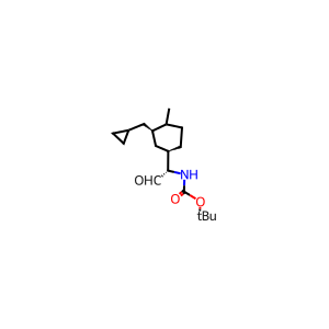 CC1CC[C@@H]([C@@H](C=O)NC(=O)OC(C)(C)C)C[C@H]1CC1CC1